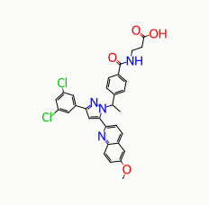 COc1ccc2nc(-c3cc(-c4cc(Cl)cc(Cl)c4)nn3C(C)c3ccc(C(=O)NCCC(=O)O)cc3)ccc2c1